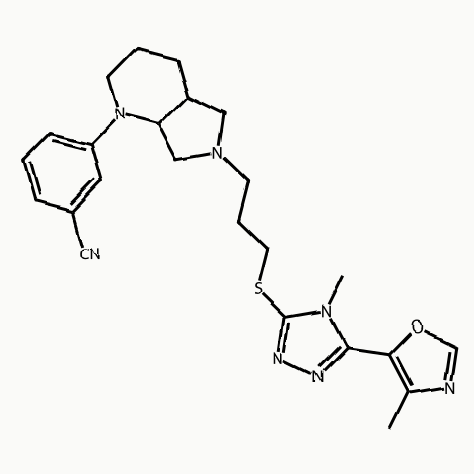 Cc1ncoc1-c1nnc(SCCCN2CC3CCCN(c4cccc(C#N)c4)C3C2)n1C